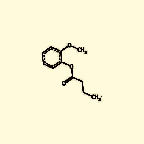 [CH2]CCC(=O)Oc1ccccc1OC